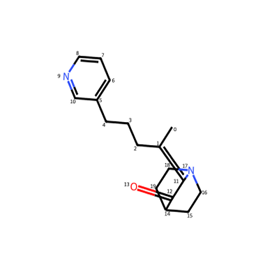 CC(CCCc1cccnc1)=C1C(=O)C2CCN1CC2